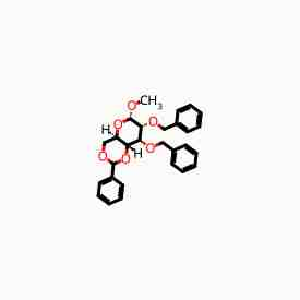 CO[C@H]1O[C@@H]2COC(c3ccccc3)O[C@H]2[C@H](OCc2ccccc2)[C@H]1OCc1ccccc1